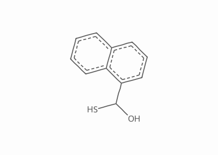 OC(S)c1cccc2ccccc12